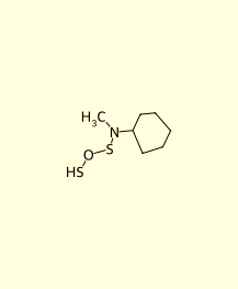 CN(SOS)C1CCCCC1